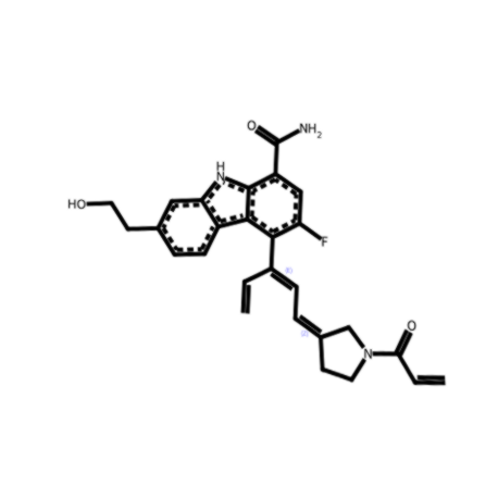 C=CC(=O)N1CC/C(=C/C=C(\C=C)c2c(F)cc(C(N)=O)c3[nH]c4cc(CCO)ccc4c23)C1